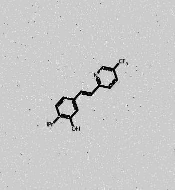 CC(C)c1ccc(/C=C/c2ccc(C(F)(F)F)cn2)cc1O